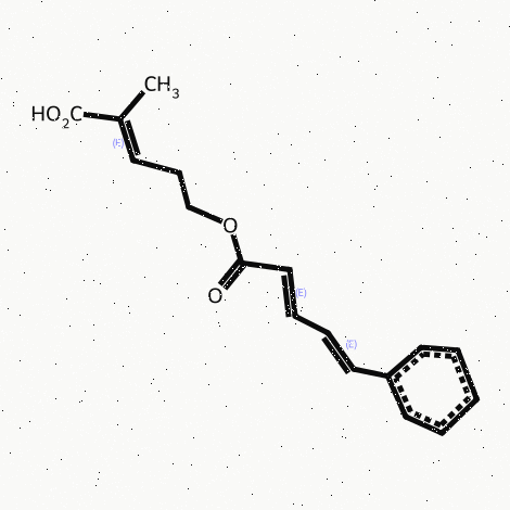 C/C(=C\CCOC(=O)/C=C/C=C/c1ccccc1)C(=O)O